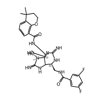 CC1(C)CCOc2c(C(=O)NC3CN4C(=N)N[C@@H](CNC(=O)c5cc(F)cc(F)c5)C5NC(=N)N(O)C54[C@@]3(C)O)cccc21